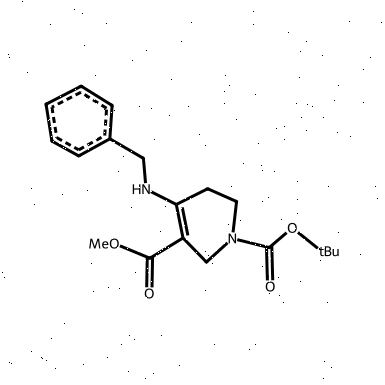 COC(=O)C1=C(NCc2ccccc2)CCN(C(=O)OC(C)(C)C)C1